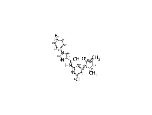 C[C@H](Nc1nc(Cl)cc(N2C(=O)N(C)C[C@@H]2C)n1)c1cn(-c2ccc(F)cc2)cn1